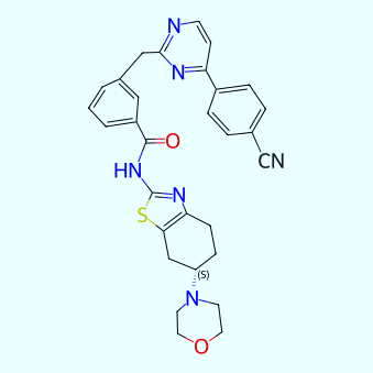 N#Cc1ccc(-c2ccnc(Cc3cccc(C(=O)Nc4nc5c(s4)C[C@@H](N4CCOCC4)CC5)c3)n2)cc1